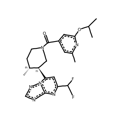 Cc1cc(C(=O)N2CC[C@@H](C)[C@H](c3cc(C(F)F)nc4ncnn34)C2)cc(OC(C)C)n1